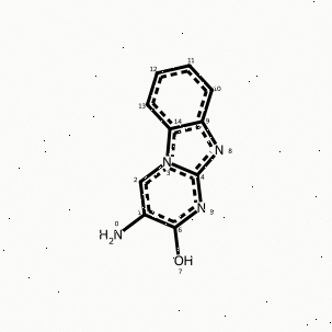 Nc1cn2c(nc1O)nc1ccccc12